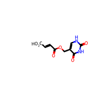 O=C(O)C=CC(=O)OCc1c[nH]c(=O)[nH]c1=O